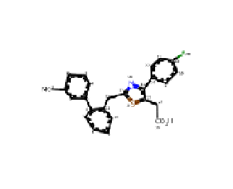 N#Cc1cccc(-c2ccccc2Cc2nc(-c3ccc(F)cc3)c(CC(=O)O)s2)c1